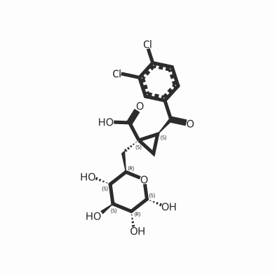 O=C(c1ccc(Cl)c(Cl)c1)[C@H]1C[C@@]1(C[C@H]1O[C@H](O)[C@H](O)[C@@H](O)[C@@H]1O)C(=O)O